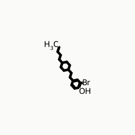 CCCCCC1CCC(CCc2ccc(O)c(Br)c2)CC1